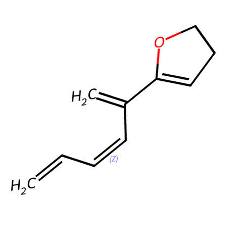 C=C/C=C\C(=C)C1=CCCO1